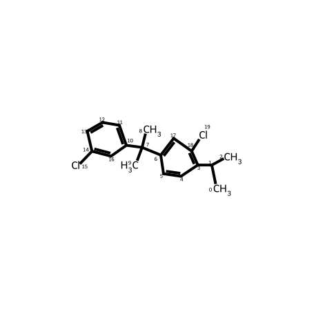 CC(C)c1ccc(C(C)(C)c2cccc(Cl)c2)cc1Cl